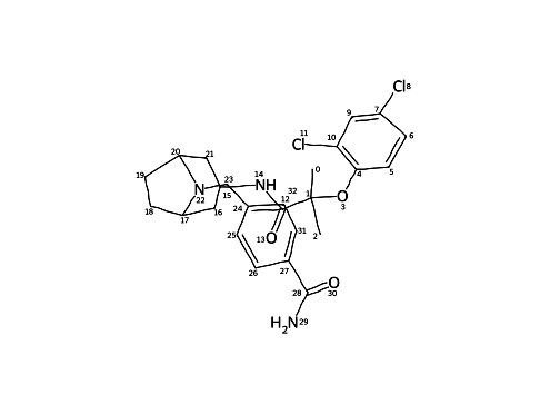 CC(C)(Oc1ccc(Cl)cc1Cl)C(=O)NC1CC2CCC(C1)N2Cc1ccc(C(N)=O)cc1